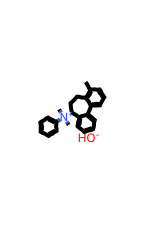 Cc1cccc2c1CCC([N+](C)(C)c1ccccc1)c1ccccc1-2.[OH-]